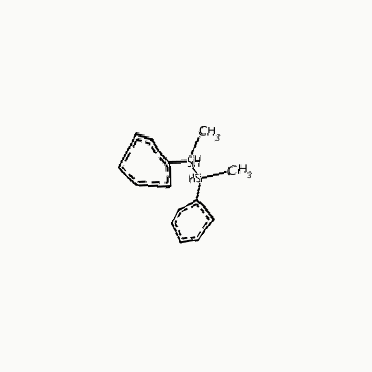 C[SiH](c1ccccc1)[SiH](C)c1ccccc1